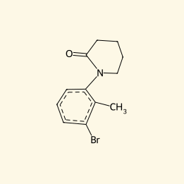 Cc1c(Br)cccc1N1CCCCC1=O